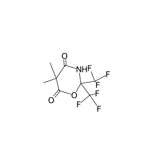 CC1(C)C(=O)NC(C(F)(F)F)(C(F)(F)F)OC1=O